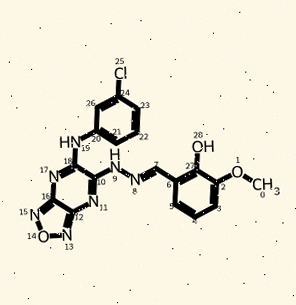 COc1cccc(C=NNc2nc3nonc3nc2Nc2cccc(Cl)c2)c1O